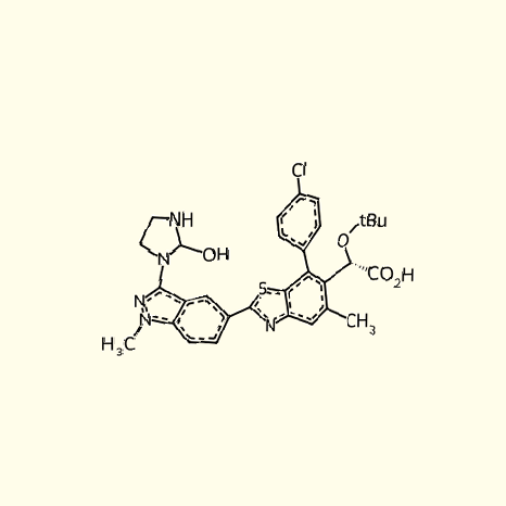 Cc1cc2nc(-c3ccc4c(c3)c(N3CCNC3O)nn4C)sc2c(-c2ccc(Cl)cc2)c1[C@H](OC(C)(C)C)C(=O)O